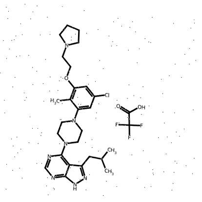 Cc1c(OCCN2CCCC2)cc(Cl)cc1N1CCN(c2ncnc3[nH]nc(CC(C)C)c23)CC1.O=C(O)C(F)(F)F